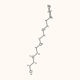 [N-]=[N+]=NCCOCCOCCOCCCl